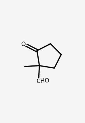 CC1(C=O)CCCC1=O